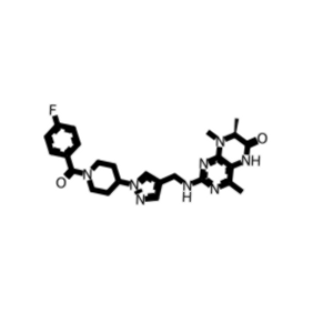 Cc1nc(NCc2cnn(C3CCN(C(=O)c4ccc(F)cc4)CC3)c2)nc2c1NC(=O)[C@H](C)N2C